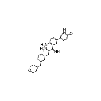 N=C(/C(N)=C/c1cccc(CN2CCOCC2)c1)c1cc(-c2ccc(=O)[nH]c2)ccc1N